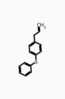 C=CCc1[c]cc(Sc2ccccc2)cc1